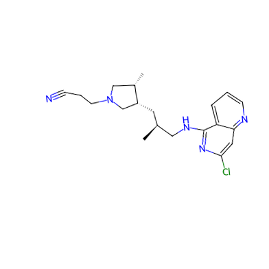 C[C@H](CNc1nc(Cl)cc2ncccc12)C[C@@H]1CN(CCC#N)C[C@@H]1C